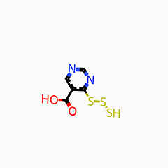 O=C(O)c1cncnc1SSS